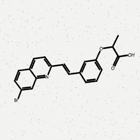 CC(Oc1cccc(C=Cc2ccc3ccc(Br)cc3n2)c1)C(=O)O